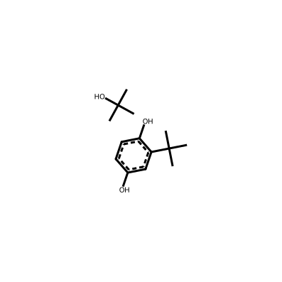 CC(C)(C)O.CC(C)(C)c1cc(O)ccc1O